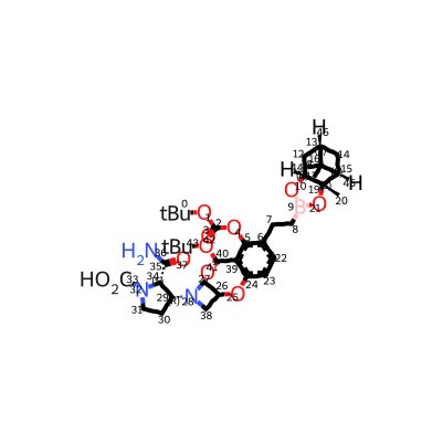 CC(C)(C)OC(=O)Oc1c(CCB2O[C@@H]3C[C@@H]4C[C@@H](C4(C)C)[C@]3(C)O2)ccc(OC2CN([C@@H]3CCN(C(=O)O)[C@@H]3C(N)=O)C2)c1C(=O)OC(C)(C)C